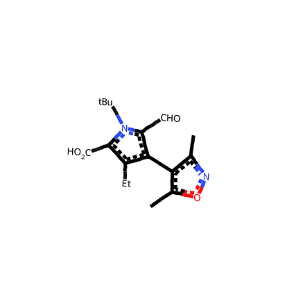 CCc1c(-c2c(C)noc2C)c(C=O)n(C(C)(C)C)c1C(=O)O